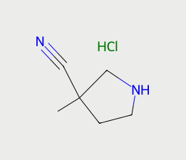 CC1(C#N)CCNC1.Cl